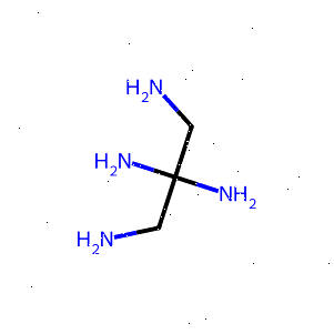 NCC(N)(N)CN